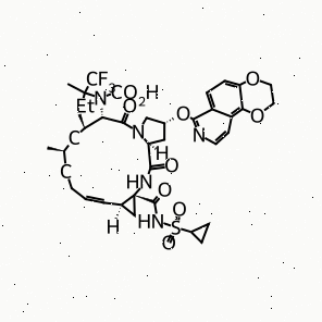 CCC(C)(N(C(=O)O)[C@@H]1C(=O)N2C[C@H](Oc3nccc4c5c(ccc34)OCCO5)C[C@H]2C(=O)N[C@]2(C(=O)NS(=O)(=O)C3CC3)C[C@H]2C=CCC[C@@H](C)C[C@H]1C)C(F)(F)F